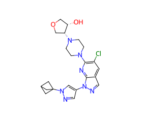 O[C@H]1COC[C@H]1N1CCN(c2nc3c(cnn3-c3cnn(C45CC(C4)C5)c3)cc2Cl)CC1